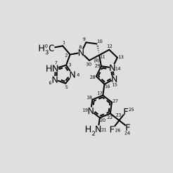 CCC(c1ncn[nH]1)N1CC[C@@]2(CCn3nc(-c4cnc(N)c(C(F)(F)F)c4)cc32)C1